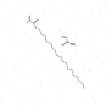 C=C(C)C(=O)OCCCCCCCCCCCCCCCCCC.C=CC(N)=O